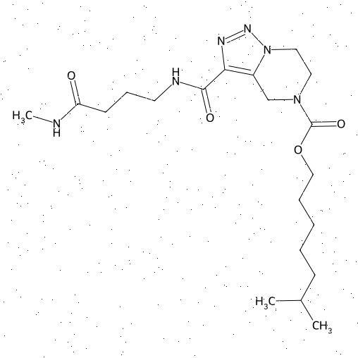 CNC(=O)CCCNC(=O)c1nnn2c1CN(C(=O)OCCCCCC(C)C)CC2